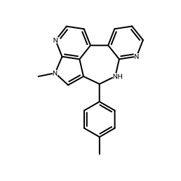 Cc1ccc(C2Nc3ncccc3-c3ccnc4c3c2cn4C)cc1